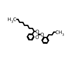 CCCCCCCCC(OC(=O)Oc1ccccc1CCCC)c1ccccc1